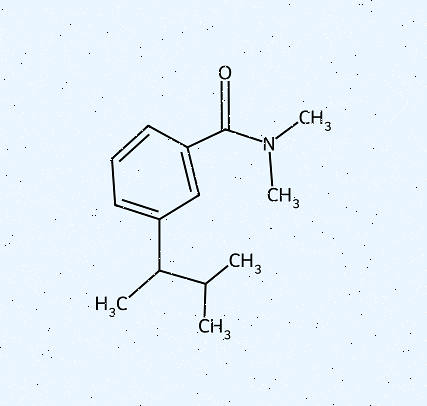 CC(C)C(C)c1cccc(C(=O)N(C)C)c1